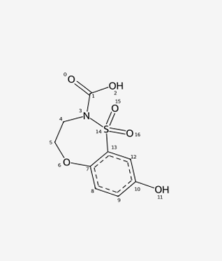 O=C(O)N1CCOc2ccc(O)cc2S1(=O)=O